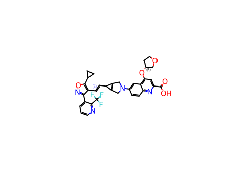 O=C(O)c1cc(O[C@@H]2CCOC2)c2cc(N3CC4C(/C=C/c5c(-c6cccnc6C(F)(F)F)noc5C5CC5)C4C3)ccc2n1